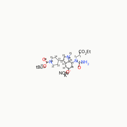 CCOC(=O)CCN(C(N)=O)c1cccc2c(C3CCN(C(=O)OC(C)(C)C)CC3)cn(C)c12.N#C[O-].[K+]